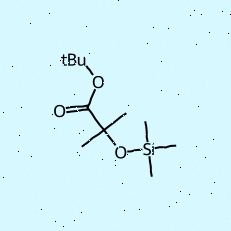 CC(C)(C)OC(=O)C(C)(C)O[Si](C)(C)C